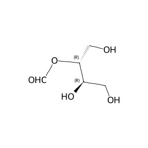 O=CO[C@H](CO)[C@H](O)CO